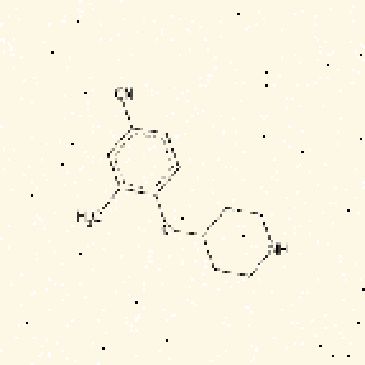 Cc1cc(C#N)ccc1OC1CCNCC1